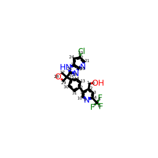 OCc1cc(C(F)(F)F)ncc1-c1ccc(C2(c3nc4ncc(Cl)cc4[nH]3)COC2)cc1